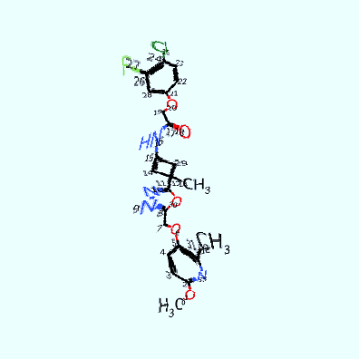 COc1ccc(OCc2nnc(C3(C)C=C(NC(=O)COc4ccc(Cl)c(F)c4)C3)o2)c(C)n1